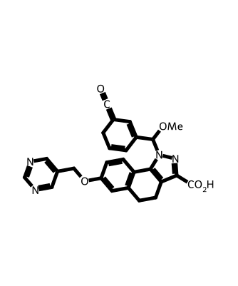 COC(C1=CC(=C=O)CC=C1)n1nc(C(=O)O)c2c1-c1ccc(OCc3cncnc3)cc1CC2